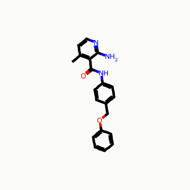 Cc1ccnc(N)c1C(=O)Nc1ccc(COc2ccccc2)cc1